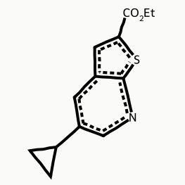 CCOC(=O)c1cc2cc(C3CC3)cnc2s1